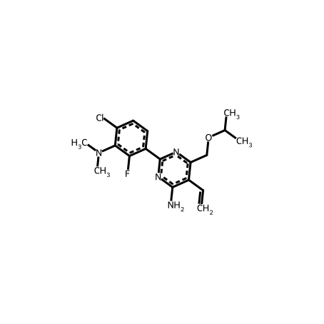 C=Cc1c(N)nc(-c2ccc(Cl)c(N(C)C)c2F)nc1COC(C)C